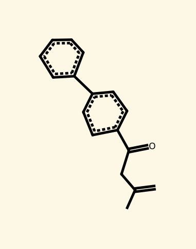 C=C(C)CC(=O)c1ccc(-c2ccccc2)cc1